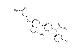 CN(C)CCOc1ccc(-c2ccc(N(C(N)=O)c3cccc(Cl)c3)cc2)c2c(N)n[nH]c12